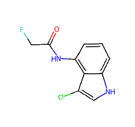 O=C(CF)Nc1cccc2[nH]cc(Cl)c12